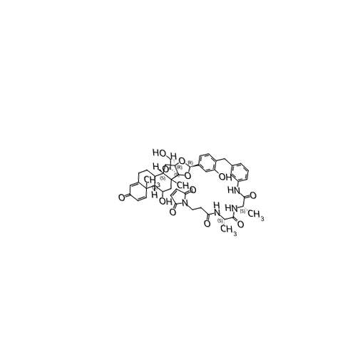 C[C@H](NC(=O)CCN1C(=O)C=CC1=O)C(=O)N[C@@H](C)C(=O)Nc1cccc(Cc2ccc([C@@H]3O[C@@H]4C[C@H]5C6CCC7=CC(=O)C=CC7(C)[C@H]6C(O)CC5(C)[C@]4(C(=O)CO)O3)cc2O)c1